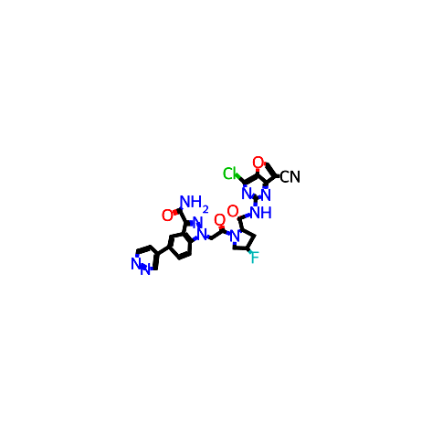 N#Cc1coc2c(Cl)nc(NC(=O)C3CC(F)CN3C(=O)Cn3nc(C(N)=O)c4cc(-c5ccnnc5)ccc43)nc12